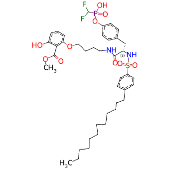 CCCCCCCCCCCCc1ccc(S(=O)(=O)N[C@@H](Cc2ccc(OP(=O)(O)C(F)F)cc2)C(=O)NCCCCOc2cccc(O)c2C(=O)OC)cc1